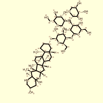 C[C@@H]1CN[C@H]2[C@@H](C)[C@H]3[C@H](C[C@H]4[C@@H]5CC[C@H]6C[C@@H](O[C@@H]7O[C@H](CO)[C@H](O[C@@H]8O[C@H](CO)[C@@H](O)[C@H](O[C@@H]9OC[C@@H](O)[C@H](O)[C@H]9O)[C@H]8O[C@@H]8O[C@H](CO)[C@@H](O)[C@H](O)[C@H]8O)[C@H](O)[C@H]7O)CC[C@]6(C)[C@H]5CC[C@]34C)O[C@]2(O)C1